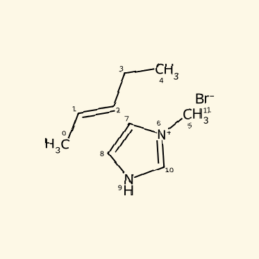 CC=CCC.C[n+]1cc[nH]c1.[Br-]